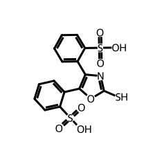 O=S(=O)(O)c1ccccc1-c1nc(S)oc1-c1ccccc1S(=O)(=O)O